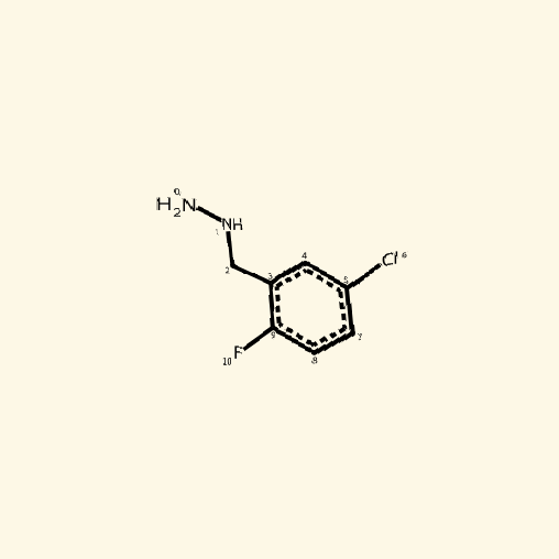 NNCc1cc(Cl)ccc1F